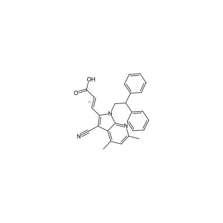 Cc1cc(C)c2c(C#N)c(/C=C/C(=O)O)n(CC(c3ccccc3)c3ccccc3)c2n1